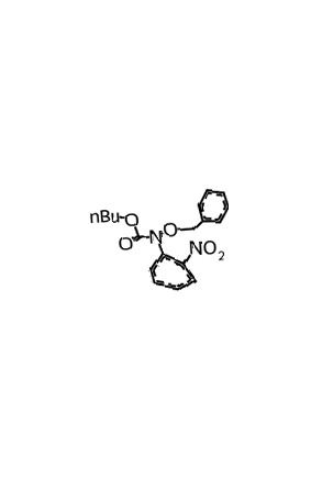 CCCCOC(=O)N(OCc1ccccc1)c1ccccc1[N+](=O)[O-]